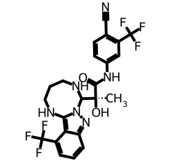 C[C@@](O)(C(=O)Nc1ccc(C#N)c(C(F)(F)F)c1)C1NCCCNc2c3c(C(F)(F)F)cccc3nn21